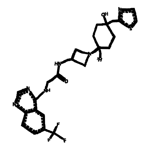 [2H]C1(N2CC(NC(=O)CNc3ncnc4ccc(C(F)(F)F)cc34)C2)CCC(O)(c2nccs2)CC1